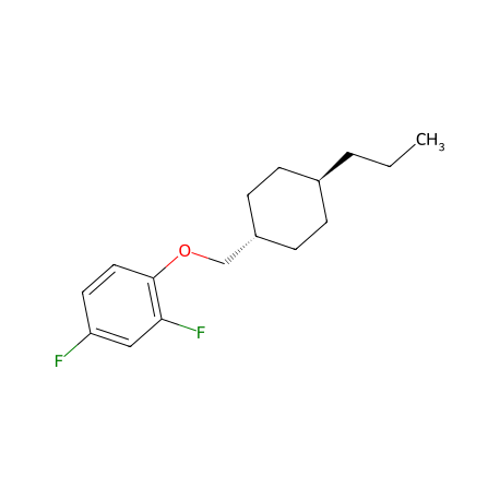 CCC[C@H]1CC[C@H](COc2ccc(F)cc2F)CC1